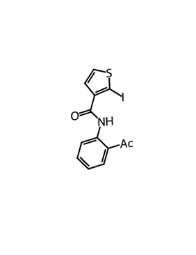 CC(=O)c1ccccc1NC(=O)c1ccsc1I